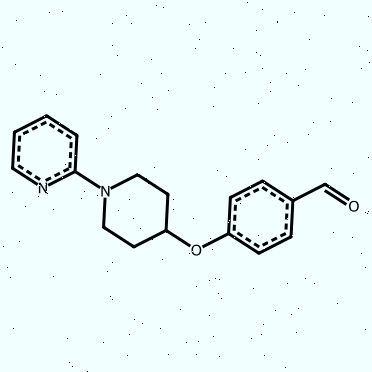 O=Cc1ccc(OC2CCN(c3ccccn3)CC2)cc1